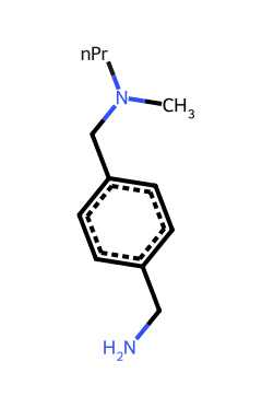 CCCN(C)Cc1ccc(CN)cc1